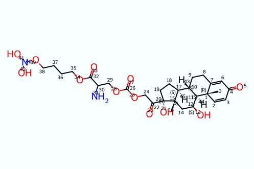 C[C@]12C=CC(=O)C=C1CC[C@@H]1[C@@H]2[C@@H](O)C[C@@]2(C)[C@H]1CC[C@]2(O)C(=O)COC(=O)OCC(N)C(=O)OCCCCON(O)O